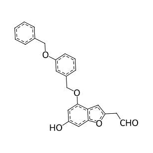 O=CCc1cc2c(OCc3cccc(OCc4ccccc4)c3)cc(O)cc2o1